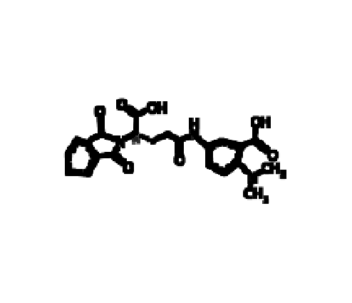 CN(C)c1ccc(NC(=O)CC[C@@H](C(=O)O)N2C(=O)c3ccccc3C2=O)cc1C(=O)O